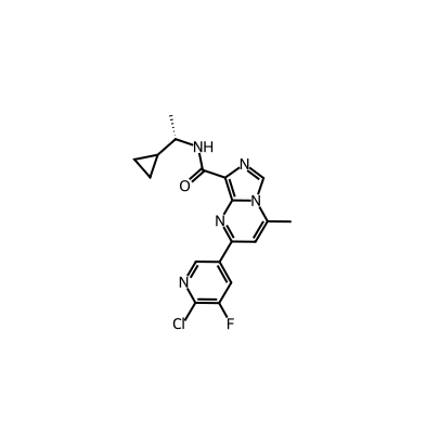 Cc1cc(-c2cnc(Cl)c(F)c2)nc2c(C(=O)N[C@@H](C)C3CC3)ncn12